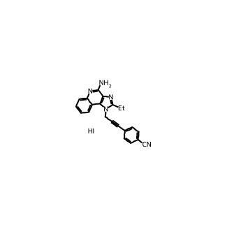 CCc1nc2c(N)nc3ccccc3c2n1CC#Cc1ccc(C#N)cc1.I